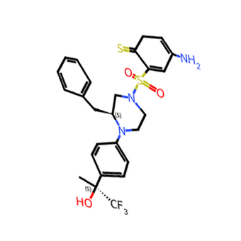 C[C@](O)(c1ccc(N2CCN(S(=O)(=O)C3=CC(N)=CCC3=S)C[C@@H]2Cc2ccccc2)cc1)C(F)(F)F